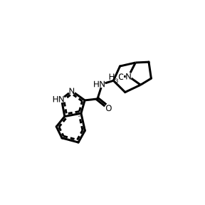 CN1C2CCC1CC(NC(=O)c1n[nH]c3ccccc13)C2